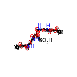 O=C(O)CCCOC(COC(=O)NCCOCCNC(=O)OCCOC(=O)c1ccccc1)COC(=O)NCCOCCNC(=O)OCCOC(=O)c1ccccc1